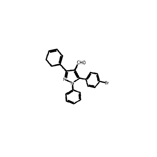 O=Cc1c(C2=CC=CCC2)nn(-c2ccccc2)c1-c1ccc(Br)cc1